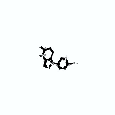 CC1CCc2c(cnn2-c2ccc(F)nc2)N1